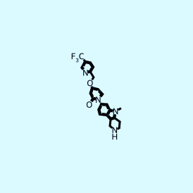 Cn1c2c(c3ccc(-n4ccc(OCc5ccc(C(F)(F)F)cn5)cc4=O)cc31)CNCC2